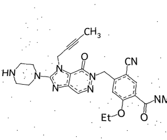 CC#CCn1c(N2CCNCC2)nc2cnn(Cc3cc(OCC)c(C(=O)NC)cc3C#N)c(=O)c21